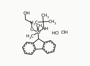 Cl.Cl.[CH2]=[Zr]([CH3])([NH]C(C)(C)C)([O]CCO)[CH]1c2ccccc2-c2ccccc21